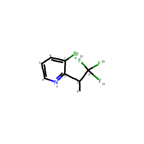 CC(c1ncccc1Br)C(F)(F)F